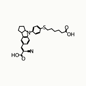 N#C/C(=C\c1ccc2c(c1)C1CCCC1N2c1ccc(SCCCCCC(=O)O)cc1)C(=O)O